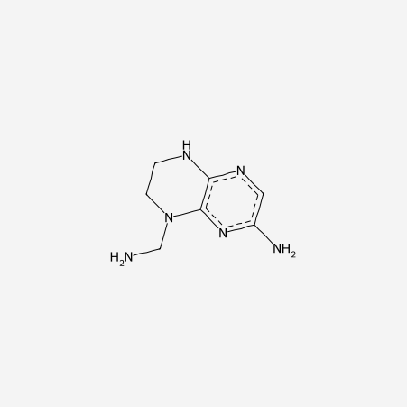 NCN1CCNc2ncc(N)nc21